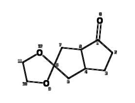 O=C1CCC2CC3(CC12)OCCO3